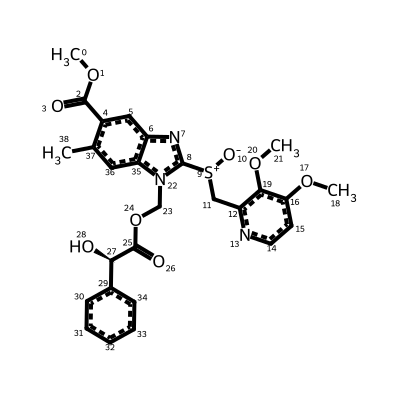 COC(=O)c1cc2nc([S+]([O-])Cc3nccc(OC)c3OC)n(COC(=O)[C@H](O)c3ccccc3)c2cc1C